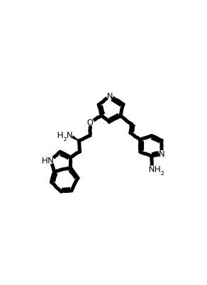 Nc1cc(C=Cc2cncc(OC[C@H](N)Cc3c[nH]c4ccccc34)c2)ccn1